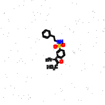 CCCc1c(C(=O)O)oc2ccc(S(=O)(=O)NCCc3ccccc3)cc12